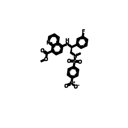 COC(=O)c1ccc(N[C@H](CN(C)S(=O)(=O)c2ccc([N+](=O)[O-])cc2)c2cccc(F)c2)c2cccnc12